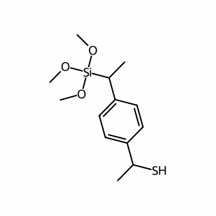 CO[Si](OC)(OC)C(C)c1ccc(C(C)S)cc1